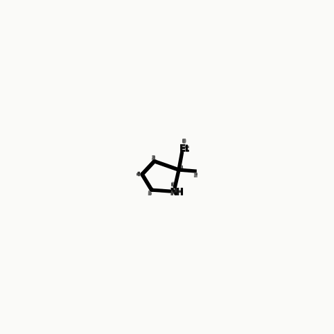 [CH2]CC1(C)CCCN1